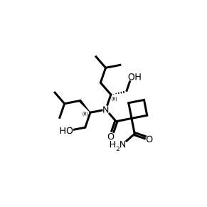 CC(C)C[C@H](CO)N(C(=O)C1(C(N)=O)CCC1)[C@@H](CO)CC(C)C